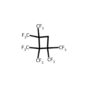 FC(F)(F)C1(C(F)(F)F)CC(C(F)(F)F)(C(F)(F)F)C1(C(F)(F)F)C(F)(F)F